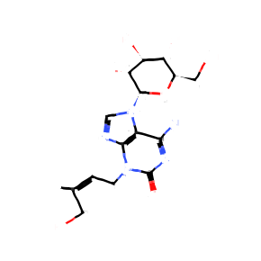 C/C(=C/Cn1c(=O)nc(N)c2c1ncn2[C@@H]1O[C@H](CO)[C@@H](O)[C@H](O)[C@H]1O)CO